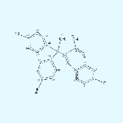 CC(C(=Cc1ccc(F)cc1)C(=O)O)(c1ccc(F)cc1)c1ccc(F)cc1